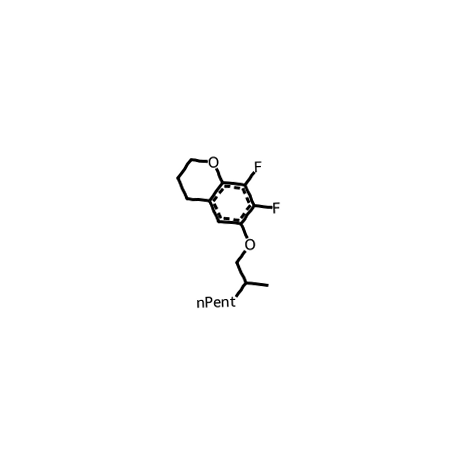 CCCCCC(C)COc1cc2c(c(F)c1F)OCCC2